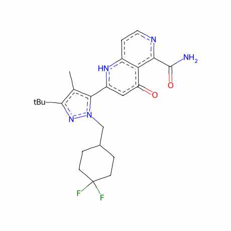 Cc1c(C(C)(C)C)nn(CC2CCC(F)(F)CC2)c1-c1cc(=O)c2c(C(N)=O)nccc2[nH]1